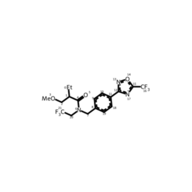 CCC(COC)C(=O)N(Cc1ccc(-c2noc(C(F)(F)F)n2)cc1)CC(F)(F)F